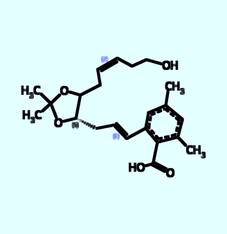 Cc1cc(C)c(C(=O)O)c(/C=C/C[C@@H]2OC(C)(C)OC2C/C=C\CCO)c1